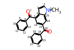 Cn1ccc2c(C(=O)c3ccccc3)cc(C(=O)c3ccccc3)cc21